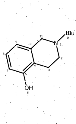 CC(C)(C)N1CCc2c(O)cccc2C1